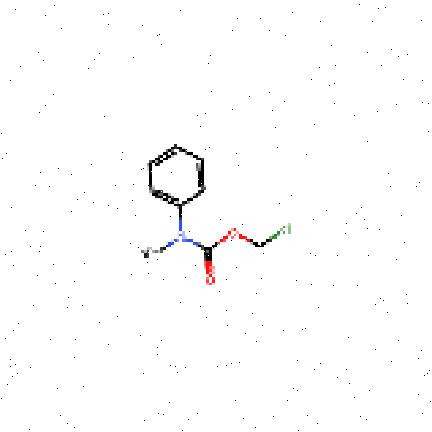 CCCN(C(=O)OCCl)c1ccccc1